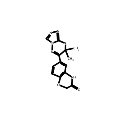 CC1(C)Sc2nncn2N=C1c1ccc2c(c1)NC(=O)CO2